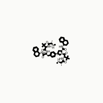 CN[C@@H](C)C(=O)NC(C(=O)N[C@@H](Cc1ccc([C@H]2C[C@@H](C(=O)N[C@@H]3CCCc4ccccc43)N(C(=O)[C@@H](NC(=O)[C@H](C)NC)C(C)(C)C)C2)cc1)C(=O)N[C@@H]1CCCc2ccccc21)C(C)(C)C